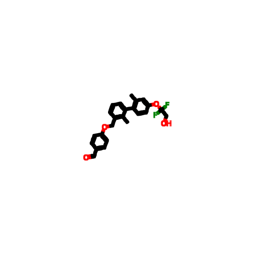 Cc1cc(OC(F)(F)CO)ccc1-c1cccc(COc2ccc(C=O)cc2)c1C